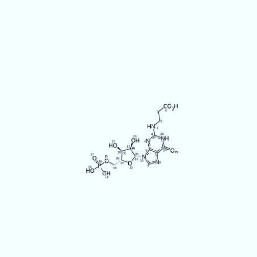 O=C(O)CCNc1nc2c(ncn2[C@@H]2O[C@H](COP(=O)(O)O)[C@@H](O)[C@H]2O)c(=O)[nH]1